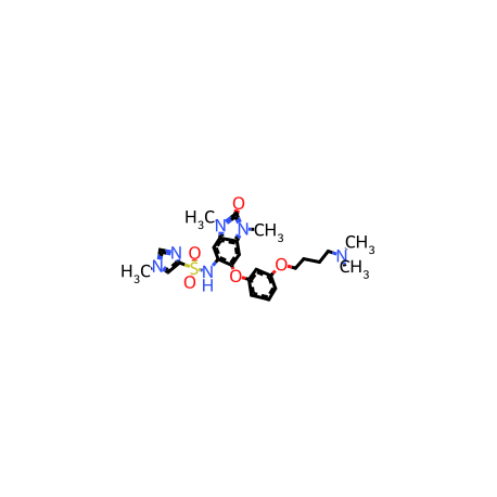 CN(C)CCCCOc1cccc(Oc2cc3c(cc2NS(=O)(=O)c2cn(C)cn2)n(C)c(=O)n3C)c1